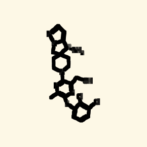 Cc1nc(N2CCC3(CC2)Cn2nccc2[C@@H]3N)c(CO)nc1Sc1cccc(Cl)c1Cl